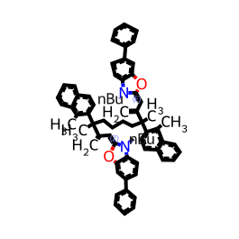 C=C(/C=C1\Oc2cc(-c3ccccc3)ccc2N1CCCC)C(C)(CCCCC(C)(C(=C)/C=C1/Oc2cc(-c3ccccc3)ccc2N1CCCC)c1ccc2ccccc2c1C)c1ccc2ccccc2c1C